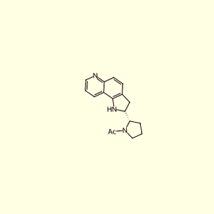 CC(=O)N1CCC[C@H]1C1Cc2ccc3ncccc3c2N1